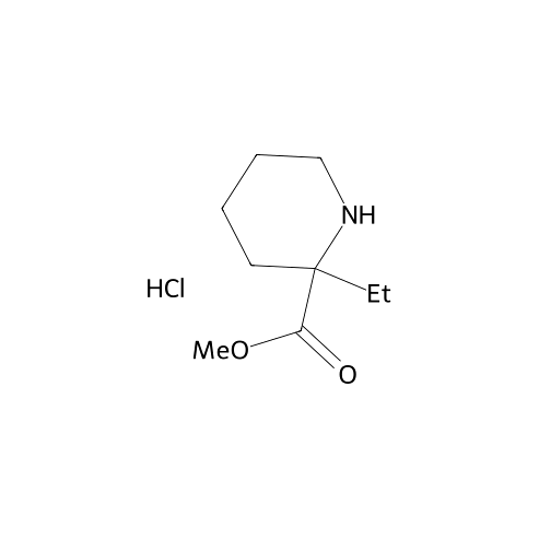 CCC1(C(=O)OC)CCCCN1.Cl